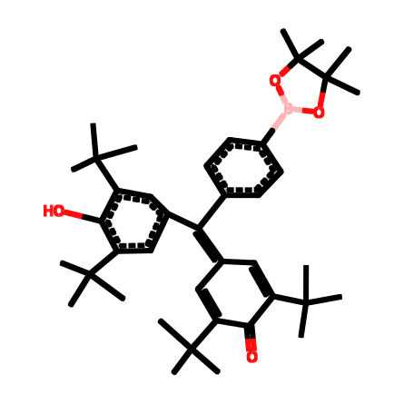 CC(C)(C)C1=CC(=C(c2ccc(B3OC(C)(C)C(C)(C)O3)cc2)c2cc(C(C)(C)C)c(O)c(C(C)(C)C)c2)C=C(C(C)(C)C)C1=O